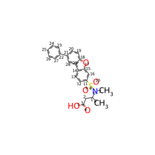 CC(CC(=O)O)N(C)S(=O)(=O)c1ccc2c(c1)oc1ccc(-c3ccccc3)cc12